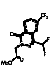 COC(=O)Cn1nc(C(F)F)c2cc(C(F)(F)F)ccc2c1=O